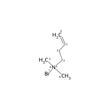 C=CCC[N+](C)(C)Br